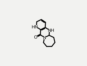 O=C1C2=C(C=CCN2)NC2CCCCCN12